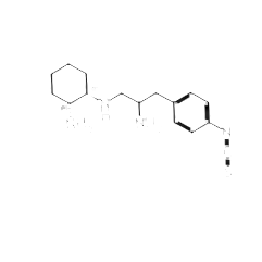 NC(CN[C@@H]1CCCC[C@H]1N)Cc1ccc(N=C=S)cc1